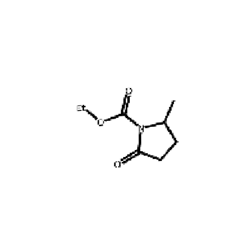 CCOC(=O)N1C(=O)CCC1C